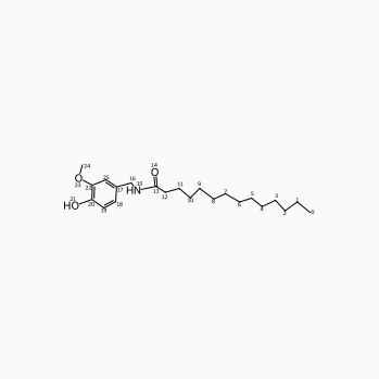 CCCCCCCCCCCCCC(=O)NCc1ccc(O)c(OC)c1